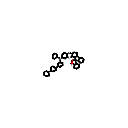 c1ccc(-c2ccc(-c3cccc(N(c4ccccc4)c4ccc5c(c4)Oc4c(ccc6c4C4(c7ccccc7-c7ccccc74)c4ccccc4-6)O5)c3)cc2)cc1